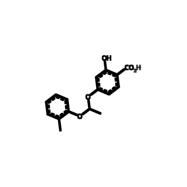 Cc1ccccc1OC(C)Oc1ccc(C(=O)O)c(O)c1